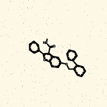 CNC(=O)c1c(-c2ccccc2)oc2ccc(OCc3ccccc3-c3ccccc3)cc12